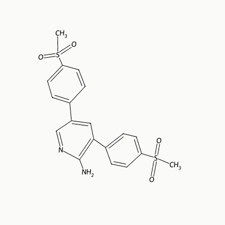 CS(=O)(=O)c1ccc(-c2cnc(N)c(-c3ccc(S(C)(=O)=O)cc3)c2)cc1